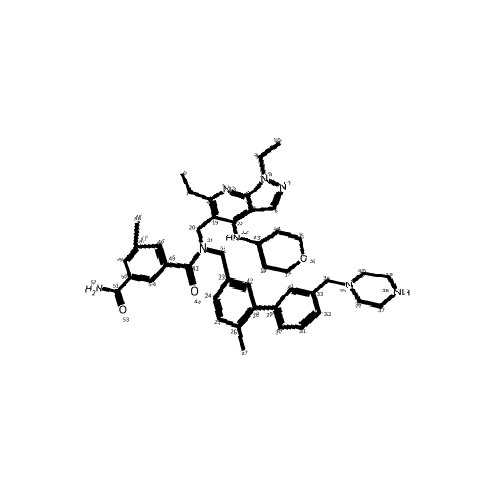 CCc1nc2c(cnn2CC)c(NC2CCOCC2)c1CN(Cc1ccc(C)c(-c2cccc(CN3CCNCC3)c2)c1)C(=O)c1cc(C)cc(C(N)=O)c1